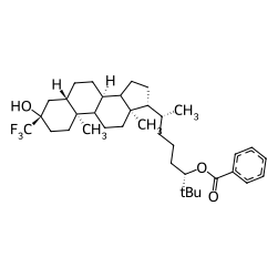 C[C@H](CCC[C@H](OC(=O)c1ccccc1)C(C)(C)C)[C@H]1CCC2[C@@H]3CC[C@H]4C[C@](O)(C(F)(F)F)CC[C@]4(C)C3CC[C@@]21C